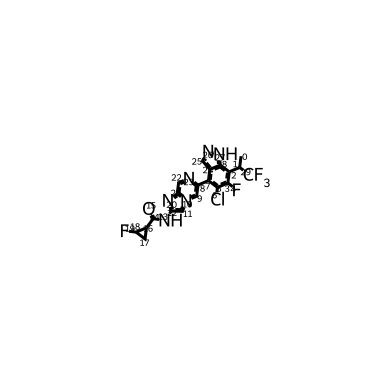 CC(c1c(F)c(Cl)c(-c2cn3cc(NC(=O)C4CC4F)nc3cn2)c2cn[nH]c12)C(F)(F)F